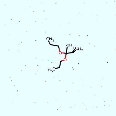 C=CC([SiH3])(OCCC)OCCC